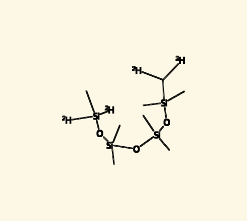 [2H]C([2H])[Si](C)(C)O[Si](C)(C)O[Si](C)(C)O[Si]([2H])([2H])C